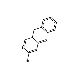 O=C1C=C(Br)N=CC1Cc1ccccc1